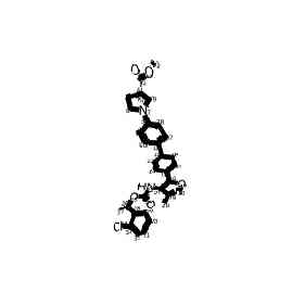 COC(=O)[C@H]1CCN(c2ccc(-c3ccc(-c4onc(C)c4NC(=O)O[C@H](C)c4ccccc4Cl)cc3)cc2)C1